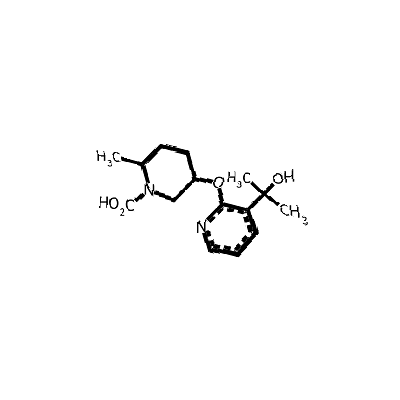 CC1CCC(Oc2ncccc2C(C)(C)O)CN1C(=O)O